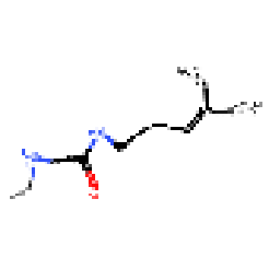 CCCNC(=O)NCCC=C(C)C(=O)O